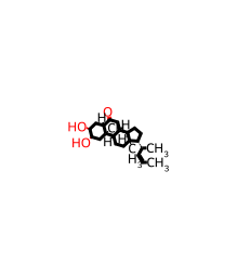 C/C=C\C(C)[C@H]1CC[C@H]2[C@@H]3CC(=O)[C@H]4C[C@H](O)[C@H](O)C[C@]4(C)[C@H]3CC[C@]12C